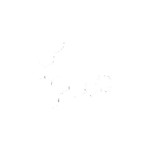 CNCCN(C)C(=O)c1ccc(Nc2nc3ccc(C)cn3n2)c(OC)c1